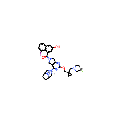 O=C(c1cc(O)cc2cccc(I)c12)N1Cc2nc(OCC3(CN4CC[C@@H](F)C4)CC3)nc(N3CC4CCC(C3)N4C(=O)O)c2C1